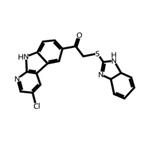 O=C(CSC1=NC2C=CC=CC2N1)c1ccc2[nH]c3ncc(Cl)cc3c2c1